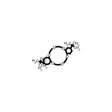 CC(C)(C)C1CCC2OCCOCCOC3CCC(C)(C(C)(C)C)CCC3OCCOCCOC2C1